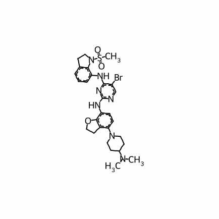 CN(C)C1CCN(c2ccc(Nc3ncc(Br)c(Nc4cccc5c4N(S(C)(=O)=O)CC5)n3)c3c2CCO3)CC1